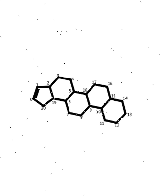 C1=CC2CCC3C(CCC4C5CCCCC5CCC43)C2C1